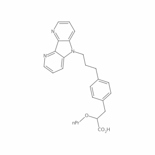 CCCOC(Cc1ccc(CCCn2c3cccnc3c3ncccc32)cc1)C(=O)O